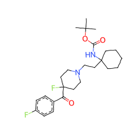 CC(C)(C)OC(=O)NC1(CCN2CCC(F)(C(=O)c3ccc(F)cc3)CC2)CCCCC1